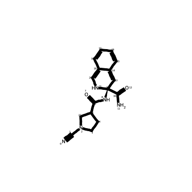 N#CN1CCC(C(=O)N[C@]2(C(N)=O)C=c3ccccc3=CN2)C1